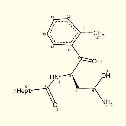 CCCCCCCC(=O)N[C@H](CC(N)O)C(=O)c1ccccc1C